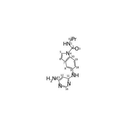 CC(C)NC(=O)n1ccc2cc(Nc3cc(N)ncn3)ccc21